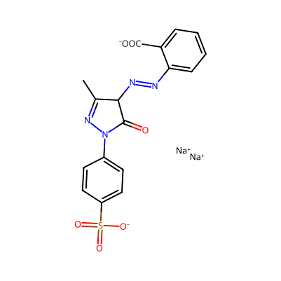 CC1=NN(c2ccc(S(=O)(=O)[O-])cc2)C(=O)C1N=Nc1ccccc1C(=O)[O-].[Na+].[Na+]